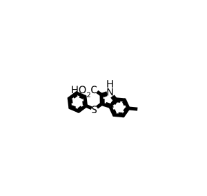 Cc1ccc2c(Sc3ccccc3)c(C(=O)O)[nH]c2c1